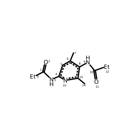 CCC(=O)Nc1cc(C)c(NC(=O)CC)c(C)n1